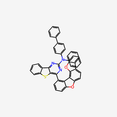 c1ccc(-c2ccc(N(c3ccccc3)c3nc(-c4cccc5oc6ccc7c8ccccc8oc7c6c45)c4sc5ccccc5c4n3)cc2)cc1